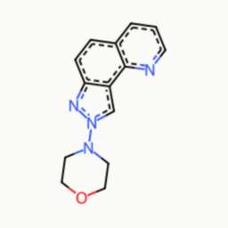 c1cnc2c(c1)ccc1nn(N3CCOCC3)cc12